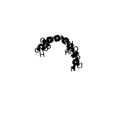 CC1(C)[C@H](NC(=O)c2cnc(N3CCC(CN4CCN(c5ccc6c(c5)C(=O)N(C5CCC(=O)NC5=O)C6=O)CC4)CC3)cc2F)C(C)(C)[C@H]1Oc1ccc(C#N)c(Cl)c1